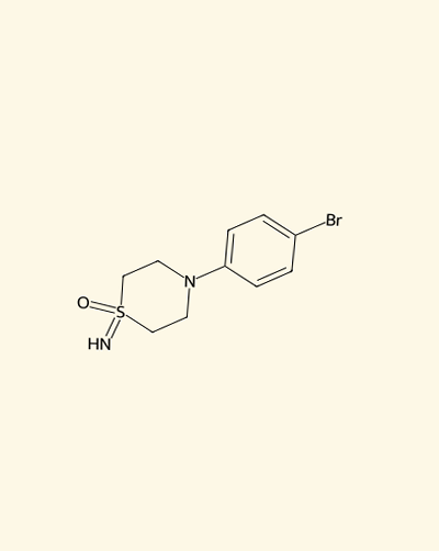 N=S1(=O)CCN(c2ccc(Br)cc2)CC1